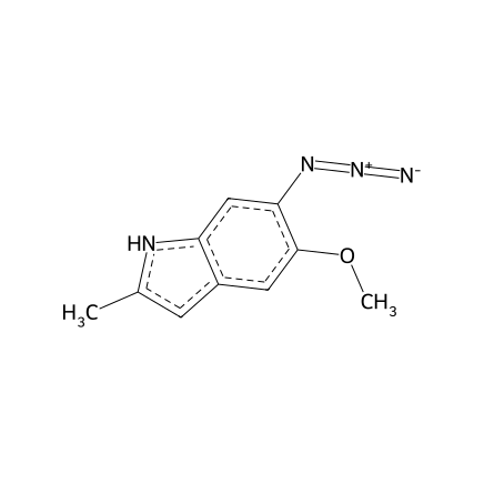 COc1cc2cc(C)[nH]c2cc1N=[N+]=[N-]